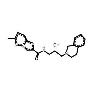 Cc1ccc2nc(C(=O)NC[C@H](O)CN3CCc4ccccc4C3)cn2n1